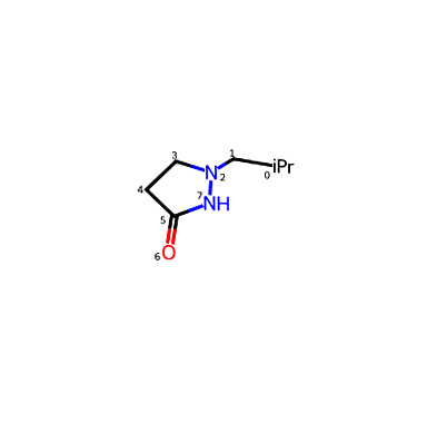 CC(C)CN1CCC(=O)N1